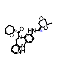 CC1COC/C(=C\Nc2ccc3c(c2)N(C(=O)[C@H]2CCCCO2)Cc2cccnc2N3)O1